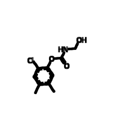 Cc1cc(Cl)c(OC(=O)NCO)cc1C